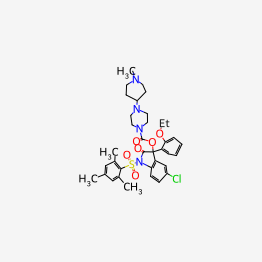 CCOc1ccccc1C1(OC(=O)N2CCN(C3CCN(C)CC3)CC2)C(=O)N(S(=O)(=O)c2c(C)cc(C)cc2C)c2ccc(Cl)cc21